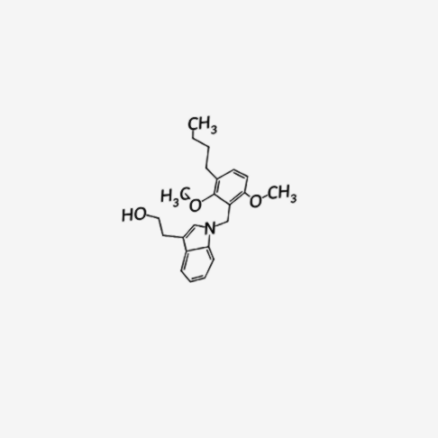 CCCCc1ccc(OC)c(Cn2cc(CCO)c3ccccc32)c1OC